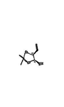 C=C[C@@H]1OC(C)(C)O[C@@H]1CC